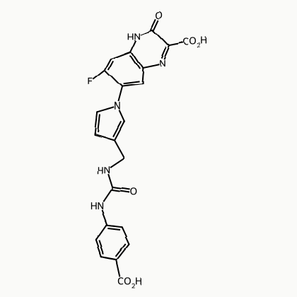 O=C(NCc1ccn(-c2cc3nc(C(=O)O)c(=O)[nH]c3cc2F)c1)Nc1ccc(C(=O)O)cc1